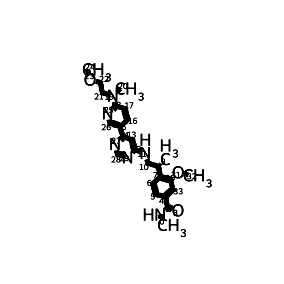 CNC(=O)c1ccc([C@H](C)CNc2cc(-c3ccc(N(C)CCOC)nc3)ncn2)c(OC)c1